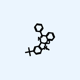 CN1C(=O)C(N=C(c2ccccc2)c2ccccc2)c2cc(C(C)(C)C)ccc21